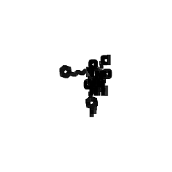 O=C1[C@H](CCCl)N2C(=O)CN(CI)N(C(=O)NCc3ccc(F)cc3)[C@H]2CN1CCCCc1ccccc1